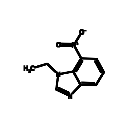 CCn1cnc2cccc([N+](=O)[O-])c21